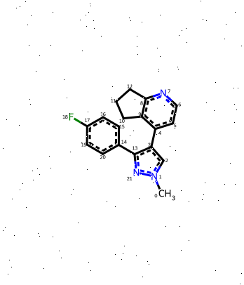 Cn1cc(-c2ccnc3c2CCC3)c(-c2ccc(F)cc2)n1